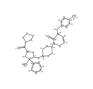 O=C(C1CCCC1)N1CC(CN2CCC(N3CC=CN(Cc4ccc(C(F)(F)F)cc4)C3=O)CC2)C(O)(c2ccccc2)C1